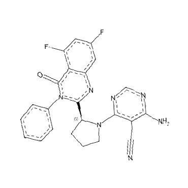 N#Cc1c(N)ncnc1N1CCC[C@H]1c1nc2cc(F)cc(F)c2c(=O)n1-c1ccccc1